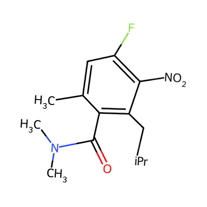 Cc1cc(F)c([N+](=O)[O-])c(CC(C)C)c1C(=O)N(C)C